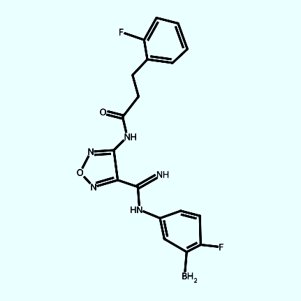 Bc1cc(NC(=N)c2nonc2NC(=O)CCc2ccccc2F)ccc1F